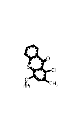 CCCOc1cc(C)c(Cl)c2c(=O)c3ccccc3sc12